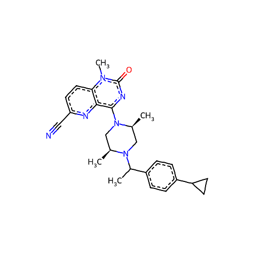 CC(c1ccc(C2CC2)cc1)N1C[C@H](C)N(c2nc(=O)n(C)c3ccc(C#N)nc23)C[C@@H]1C